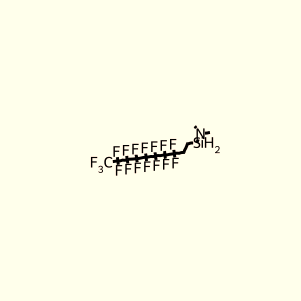 CN(C)[SiH2]CCC(F)(F)C(F)(F)C(F)(F)C(F)(F)C(F)(F)C(F)(F)C(F)(F)C(F)(F)F